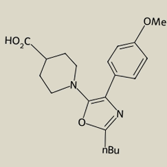 CCCCc1nc(-c2ccc(OC)cc2)c(N2CCC(C(=O)O)CC2)o1